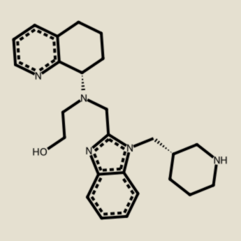 OCCN(Cc1nc2ccccc2n1C[C@H]1CCCNC1)[C@H]1CCCc2cccnc21